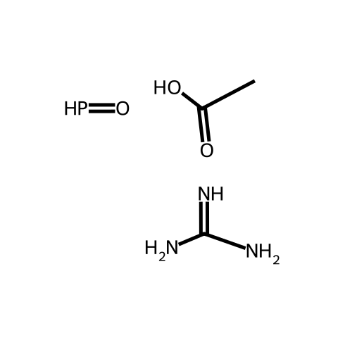 CC(=O)O.N=C(N)N.O=P